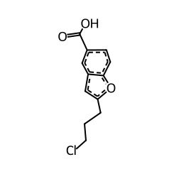 O=C(O)c1ccc2oc(CCCCl)cc2c1